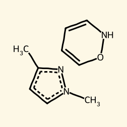 C1=CNOC=C1.Cc1ccn(C)n1